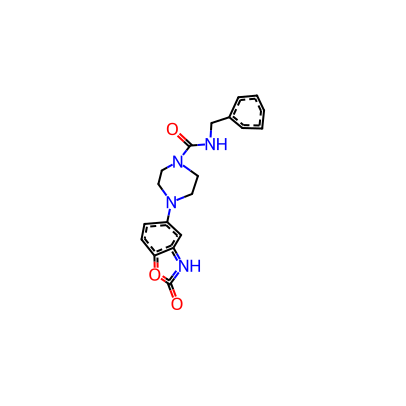 O=C(NCc1ccccc1)N1CCN(c2ccc3oc(=O)[nH]c3c2)CC1